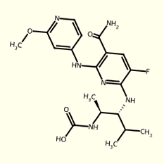 COc1cc(Nc2nc(N[C@H](C(C)C)[C@H](C)NC(=O)O)c(F)cc2C(N)=O)ccn1